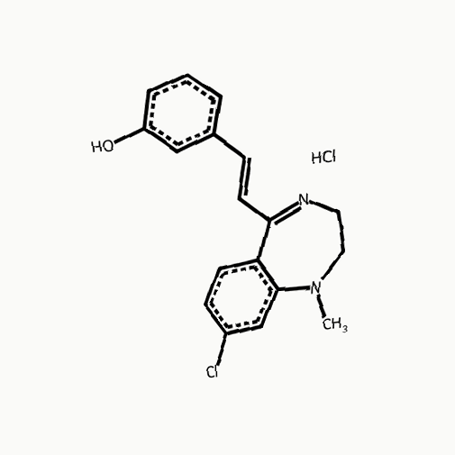 CN1CCN=C(/C=C/c2cccc(O)c2)c2ccc(Cl)cc21.Cl